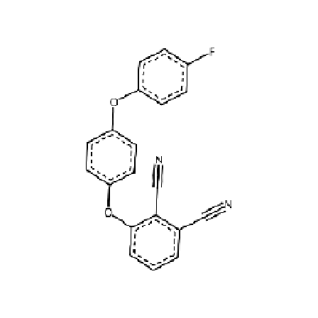 N#Cc1cccc(Oc2ccc(Oc3ccc(F)cc3)cc2)c1C#N